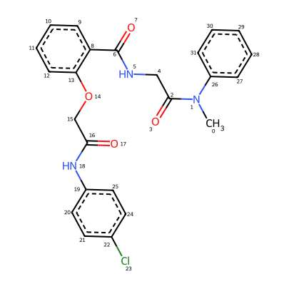 CN(C(=O)CNC(=O)c1ccccc1OCC(=O)Nc1ccc(Cl)cc1)c1ccccc1